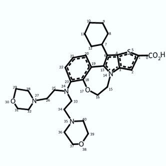 O=C(O)c1cc2c(s1)c(C1CCCCC1)c1n2CCOc2c-1cccc2N(CCN1CCOCC1)CCN1CCOCC1